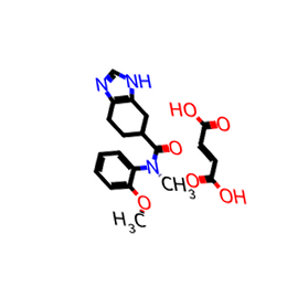 COc1ccccc1N(C)C(=O)C1CCc2nc[nH]c2C1.O=C(O)C=CC(=O)O